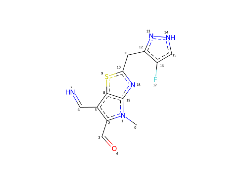 Cn1c(C=O)c(C=N)c2sc(Cc3n[nH]cc3F)nc21